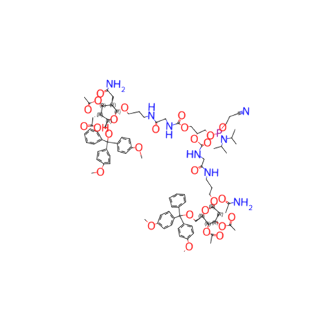 COc1ccc(C(OC[C@@H]2O[C@@H](OCCCNC(=O)CNC(=O)OCC(COP(OCCC#N)N(C(C)C)C(C)C)OC(=O)NCC(=O)NCCCO[C@@H]3O[C@H](COC(c4ccccc4)(c4ccc(OC)cc4)c4ccc(OC)cc4)[C@H](OC(C)=O)[C@H](OC(C)=O)[C@H]3CC(N)=O)[C@H](CC(N)=O)[C@H](OC(C)=O)[C@H]2CC(=O)O)(c2ccccc2)c2ccc(OC)cc2)cc1